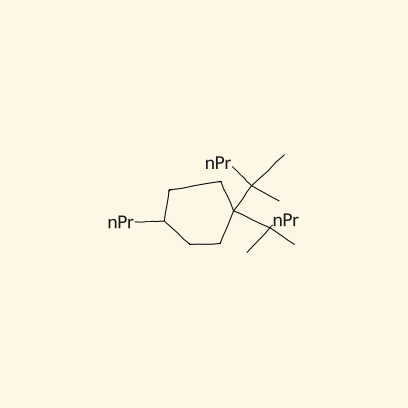 CCCC1CCC(C(C)(C)CCC)(C(C)(C)CCC)CC1